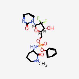 CN1CCCC(NP(=O)(OC[C@H]2O[C@@H](n3cccnc3=O)C(F)(F)[C@@H]2O)Oc2ccccc2)C1=O